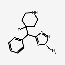 Cn1nnc(C(c2ccccc2)C2(F)CCNCC2)n1